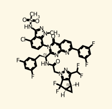 Cn1nc(NS(C)(=O)=O)c2c(Cl)ccc(-n3c([C@H](Cc4cc(F)cc(F)c4)NC(=O)Cn4nc(C(F)F)c5c4C(F)(F)[C@@H]4C[C@H]54)nc4nc(-c5cc(F)cc(F)c5)ccc4c3=O)c21